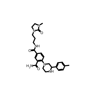 Cc1ccc(C2CN(c3ccc(C(=O)NCCCN4CCN(C)C4=O)cc3C(N)=O)CCN2)cc1